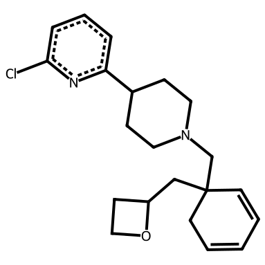 Clc1cccc(C2CCN(CC3(CC4CCO4)C=CC=CC3)CC2)n1